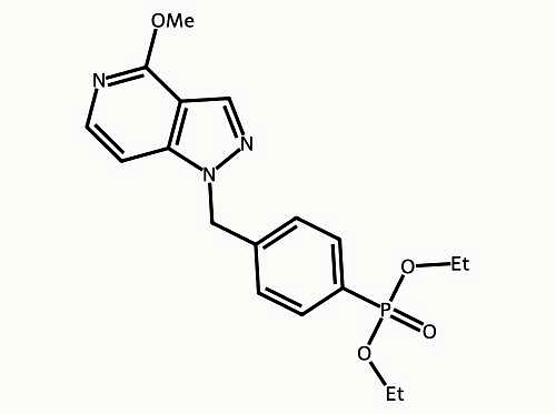 CCOP(=O)(OCC)c1ccc(Cn2ncc3c(OC)nccc32)cc1